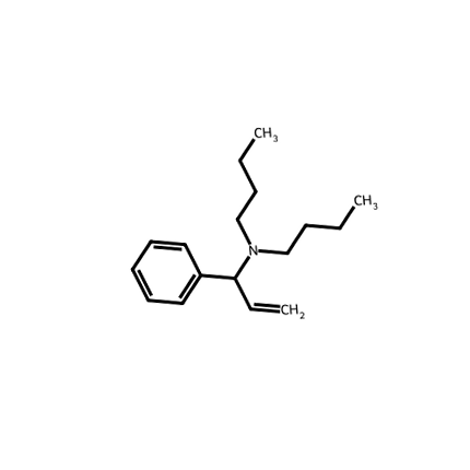 C=CC(c1ccccc1)N(CCCC)CCCC